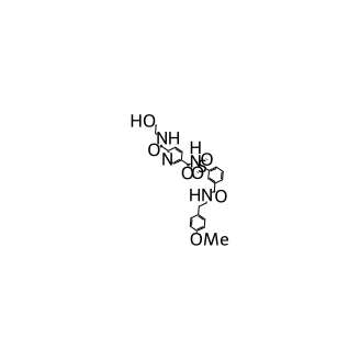 COc1ccc(CCNC(=O)c2cccc(S(=O)(=O)NC(=O)c3ccc(C(=O)NCCO)nc3)c2)cc1